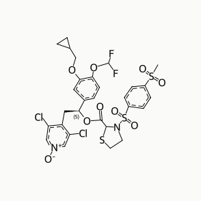 CS(=O)(=O)c1ccc(S(=O)(=O)N2CCSC2C(=O)O[C@@H](Cc2c(Cl)c[n+]([O-])cc2Cl)c2ccc(OC(F)F)c(OCC3CC3)c2)cc1